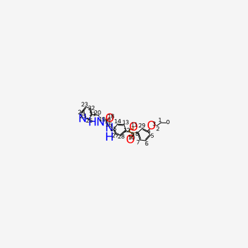 CCCOc1cccc(S(=O)(=O)c2ccc(NC(=O)NCc3cccnc3)cc2)c1